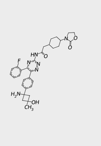 CC1(O)CC(N)(c2ccc(-c3nnc(NC(=O)CC4CCC(N5CCOC5=O)CC4)nc3-c3ccccc3F)cc2)C1